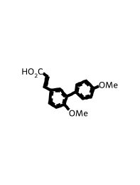 COc1ccc(-c2cc(C=CC(=O)O)ccc2OC)cc1